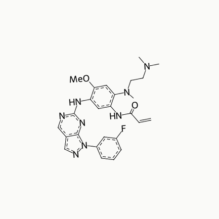 C=CC(=O)Nc1cc(Nc2ncc3cnn(-c4cccc(F)c4)c3n2)c(OC)cc1N(C)CCN(C)C